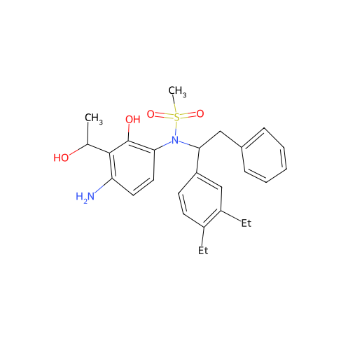 CCc1ccc(C(Cc2ccccc2)N(c2ccc(N)c(C(C)O)c2O)S(C)(=O)=O)cc1CC